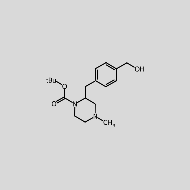 CN1CCN(C(=O)OC(C)(C)C)C(Cc2ccc(CO)cc2)C1